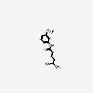 CC(N)CCCC(=O)Nc1cccc(C(=O)O)c1